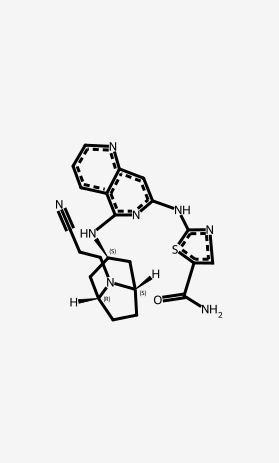 N#CCCN1[C@@H]2CC[C@H]1C[C@H](Nc1nc(Nc3ncc(C(N)=O)s3)cc3ncccc13)C2